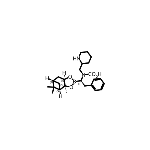 CC1(C)[C@@H]2C[C@H]3OB([C@H](Cc4ccccc4)N(CC4CCCCN4)C(=O)O)O[C@@]3(C)[C@H]1C2